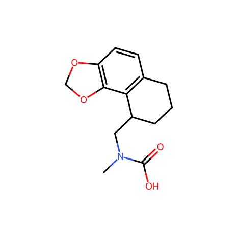 CN(CC1CCCc2ccc3c(c21)OCO3)C(=O)O